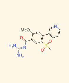 COc1cc(-c2cccnc2)c(S(C)(=O)=O)cc1C(=O)N=C(N)N